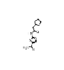 CC(=O)c1cnc(NC(=O)CC2CCCC2)s1